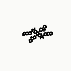 Cc1c(C)n(-c2ccc3cc4ccccc4cc3c2)c2cc3c(-c4ccc5c(c4)C(C)(C)c4ccccc4-5)c4cc5c(C)c(C)n(-c6ccc7cc8ccccc8cc7c6)c5cc4c(-c4ccc5c(c4)C(C)(C)c4ccccc4-5)c3cc12